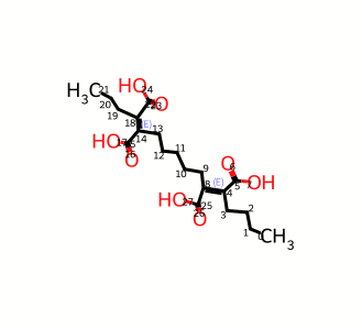 CCCC/C(C(=O)O)=C(/CCCCC/C(C(=O)O)=C(/CCC)C(=O)O)C(=O)O